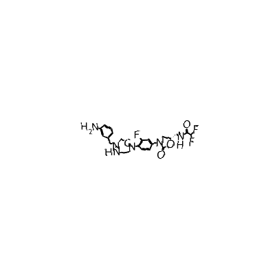 Nc1cccc(CN2CCN(c3ccc(N4C[C@H](CNC(=O)C(F)F)OC4=O)cc3F)CCN2)c1